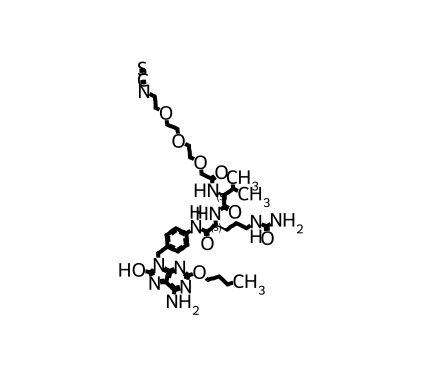 CCCCOc1nc(N)c2nc(O)n(Cc3ccc(NC(=O)[C@H](CCCNC(N)=O)NC(=O)[C@@H](NC(=O)COCCOCCOCCN=C=S)C(C)C)cc3)c2n1